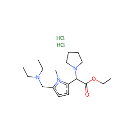 CCOC(=O)C(c1ccc(CN(CC)CC)n1C)N1CCCC1.Cl.Cl